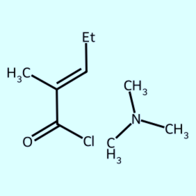 CC/C=C(\C)C(=O)Cl.CN(C)C